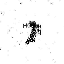 O=c1ccn([C@@H]2O[C@H](COP(=O)(O)OP(=O)(O)OP(=O)(O)O)C(O)C2O)c(=O)n1Cc1cc(Oc2ccccc2)ccn1